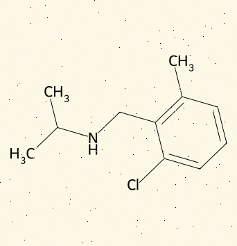 Cc1cccc(Cl)c1CNC(C)C